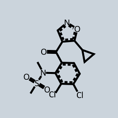 CN(c1c(C(=O)c2cnoc2C2CC2)ccc(Cl)c1Cl)S(C)(=O)=O